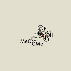 COc1cc2c(cc1OC)C(CCN1CCCCC1(O)c1c(C)c(F)c(F)c(F)c1Cl)N(C(=O)C1CCCCCC1)CC2